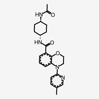 CC(=O)N[C@H]1CC[C@H](NC(=O)c2cccc3c2OCCN3c2ccc(C)cn2)CC1